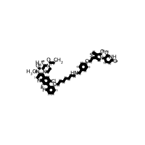 C=CC(=O)N1CCN(c2c(N(C)C=O)cnc3c(F)c(-c4c(F)cccc4OCCCCCCCNCc4ccc(OCc5scc6c5CN(C5CCC(=O)NC5=O)C6=O)cc4)c(Cl)cc23)CC1C